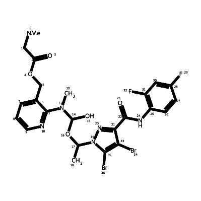 CNCC(=O)OCc1cccnc1N(C)C(O)OC(C)n1nc(C(=O)Nc2ccc(F)cc2F)c(Br)c1Br